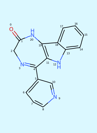 O=C1CN=C(c2cccnc2)c2[nH]c3ccccc3c2N1